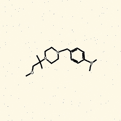 COCC(C)(C)N1CCN(Cc2ccc(B(C)C)cc2)CC1